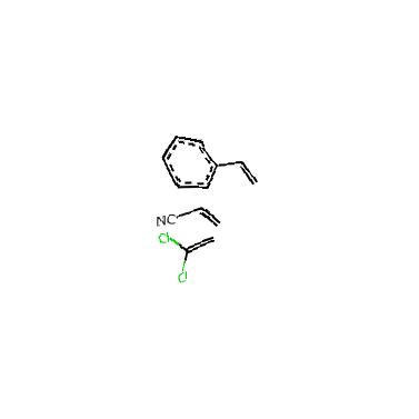 C=C(Cl)Cl.C=CC#N.C=Cc1ccccc1